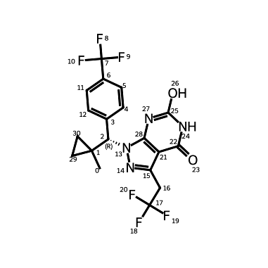 CC1([C@H](c2ccc(C(F)(F)F)cc2)n2nc(CC(F)(F)F)c3c(=O)[nH]c(O)nc32)CC1